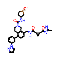 Cc1noc(C2CC2C(=O)NCc2ccc(-c3cccc(-n4cccn4)c3)c3c2CN(C(=O)NC2CC[S+]([O-])C2)CC3)n1